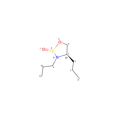 CCC[C@@H]1COS(=O)N1CCC